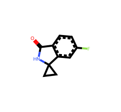 O=C1NC2(CC2)c2cc(F)ccc21